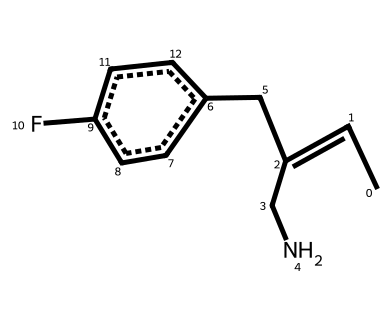 C/C=C(\CN)Cc1ccc(F)cc1